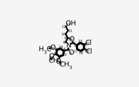 COc1cc(C(=O)N2CC(CCCO)OC2c2ccc(Cl)c(Cl)c2)cc(OC)c1OC